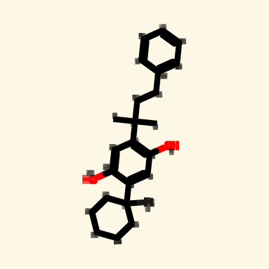 CCC1(c2cc(O)c(C(C)(C)CCc3ccccc3)cc2O)CCCCC1